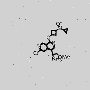 COC[C@@](C)(N)c1cnc(OC2CC([S+]([O-])C3CC3)C2)c2cnc(Cl)cc12